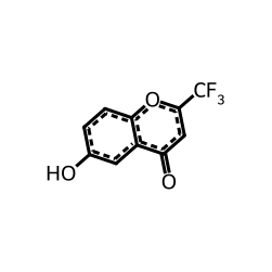 O=c1cc(C(F)(F)F)oc2ccc(O)cc12